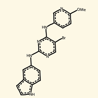 COc1ccc(Nc2nc(Nc3ccc4[nH]ccc4c3)ncc2Br)cn1